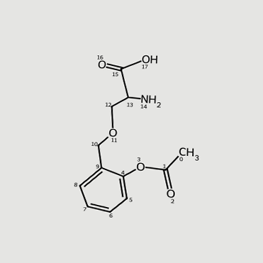 CC(=O)Oc1ccccc1COCC(N)C(=O)O